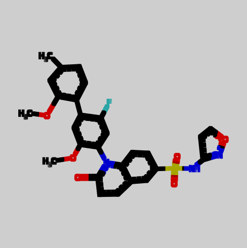 COc1cc(C)ccc1-c1cc(OC)c(-n2c(=O)ccc3cc(S(=O)(=O)Nc4ccon4)ccc32)cc1F